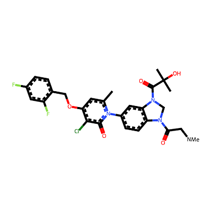 CNCC(=O)N1CN(C(=O)C(C)(C)O)c2cc(-n3c(C)cc(OCc4ccc(F)cc4F)c(Cl)c3=O)ccc21